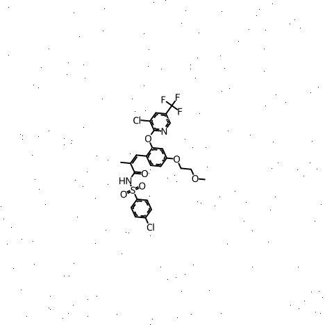 COCCOc1ccc(C=C(C)C(=O)NS(=O)(=O)c2ccc(Cl)cc2)c(Oc2ncc(C(F)(F)F)cc2Cl)c1